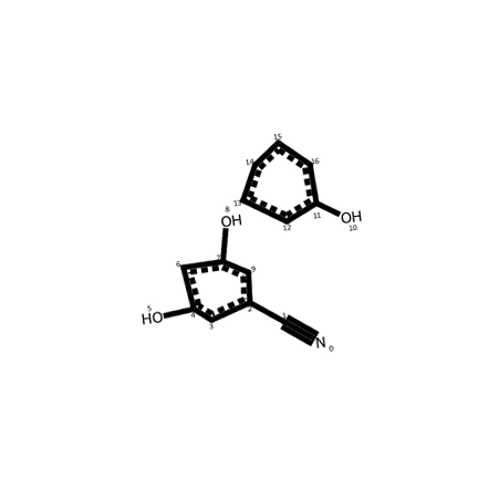 N#Cc1cc(O)cc(O)c1.Oc1ccccc1